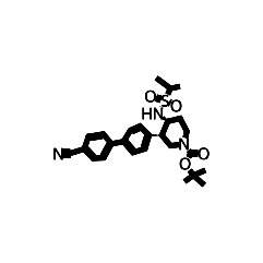 CC(C)S(=O)(=O)N[C@H]1CCN(C(=O)OC(C)(C)C)C[C@@H]1c1ccc(-c2ccc(C#N)cc2)cc1